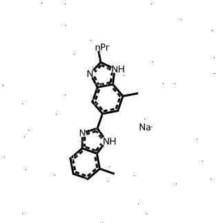 CCCc1nc2cc(-c3nc4cccc(C)c4[nH]3)cc(C)c2[nH]1.[Na]